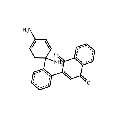 NC1=CCC(N)(c2ccccc2C2=CC(=O)c3ccccc3C2=O)C=C1